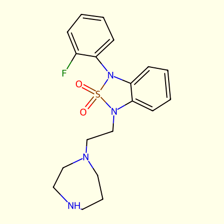 O=S1(=O)N(CCN2CCCNCC2)c2ccccc2N1c1ccccc1F